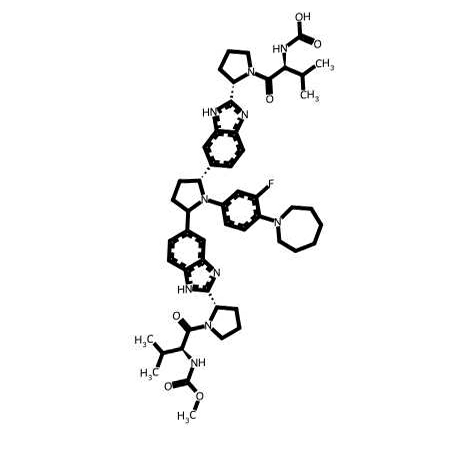 COC(=O)N[C@H](C(=O)N1CCC[C@H]1c1nc2cc(C3CC[C@H](c4ccc5nc([C@@H]6CCCN6C(=O)[C@@H](NC(=O)O)C(C)C)[nH]c5c4)N3c3ccc(N4CCCCCC4)c(F)c3)ccc2[nH]1)C(C)C